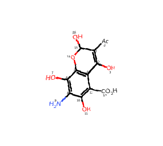 CC(=O)C1=C(O)c2c(c(O)c(N)c(O)c2C(=O)O)OC1O